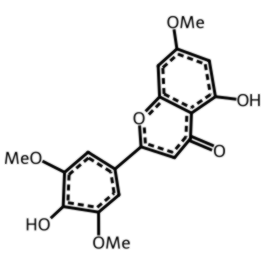 COc1cc(O)c2c(=O)cc(-c3cc(OC)c(O)c(OC)c3)oc2c1